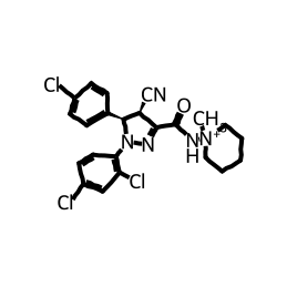 C[N+]1(NC(=O)C2=NN(c3ccc(Cl)cc3Cl)[C@@H](c3ccc(Cl)cc3)[C@H]2C#N)CCCCC1